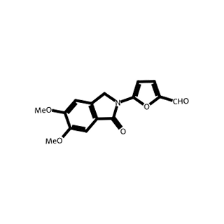 COc1cc2c(cc1OC)C(=O)N(c1ccc(C=O)o1)C2